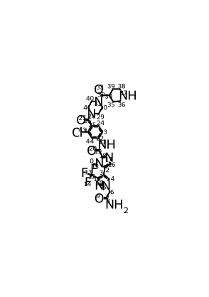 Cn1c(-c2cn(CC(N)=O)nc2C(F)(F)F)cnc1C(=O)Nc1ccc(C(=O)N2CCN(C(=O)C3CCNCC3)CC2)c(Cl)c1